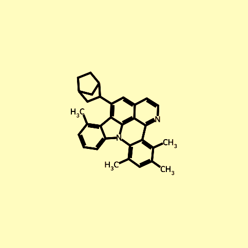 Cc1cc(C)c2c(c1C)c1nccc3cc(C4CC5CCC4C5)c4c5c(C)cccc5n2c4c31